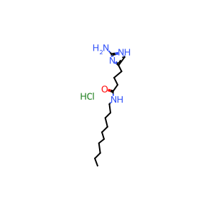 CCCCCCCCCCNC(=O)CCCc1c[nH]c(N)n1.Cl